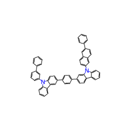 c1ccc(-c2cccc(-n3c4ccccc4c4cc(-c5ccc(-c6ccc7c8ccccc8n(-c8ccc9cc(-c%10ccccc%10)ccc9c8)c7c6)cc5)ccc43)c2)cc1